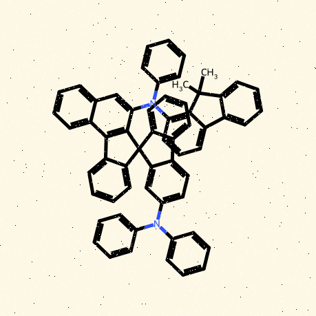 CC1(C)c2ccccc2-c2cccc(N(c3ccccc3)c3cc4ccccc4c4c3C3(c5ccccc5-c5ccc(N(c6ccccc6)c6ccccc6)cc53)c3ccccc3-4)c21